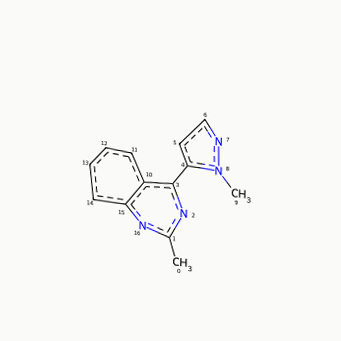 Cc1nc(-c2ccnn2C)c2ccccc2n1